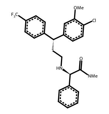 CNC(=O)[C@H](NCC[C@H](c1ccc(C(F)(F)F)cc1)c1ccc(Cl)c(OC)c1)c1ccccc1